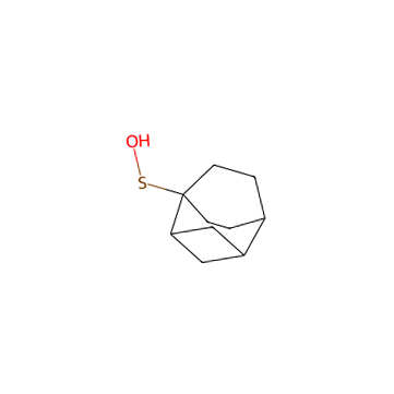 OSC12CCC(CC1)C1CC2C1